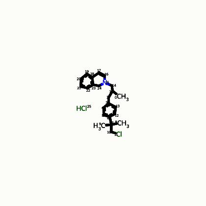 CC(Cc1ccc(C(C)(C)CCl)cc1)CN1C=Cc2ccccc2C1.Cl